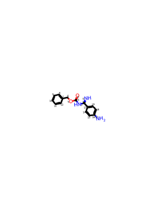 N=C(NC(=O)OCc1ccccc1)c1ccc(N)cc1